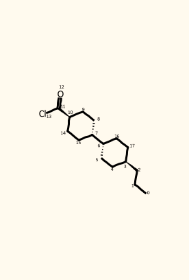 CCC[C@H]1CC[C@H]([C@H]2CC[C@H](C(=O)Cl)CC2)CC1